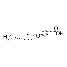 C=CCCCCC1CCC(COc2ccc(C=CC(=O)O)cc2)CC1